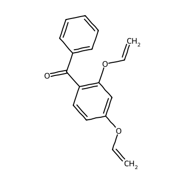 C=COc1ccc(C(=O)c2ccccc2)c(OC=C)c1